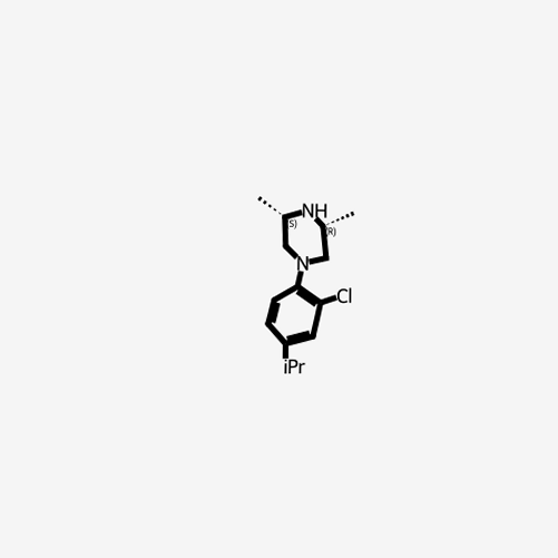 CC(C)c1ccc(N2C[C@@H](C)N[C@@H](C)C2)c(Cl)c1